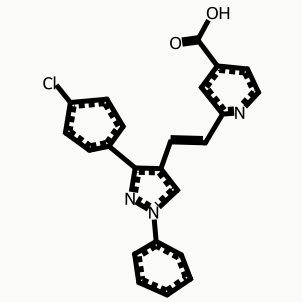 O=C(O)c1ccnc(C=Cc2cn(-c3ccccc3)nc2-c2ccc(Cl)cc2)c1